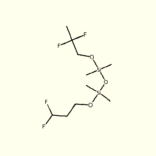 CC(F)(F)CO[Si](C)(C)O[Si](C)(C)OCCC(F)F